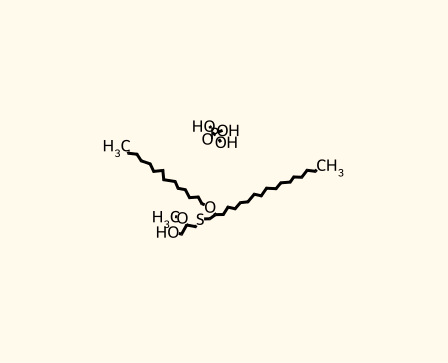 CCCCCCCCCCCCCCCCC(CSCC(CO)OC)OCCCCCCCCCCCCCC.O=P(O)(O)O